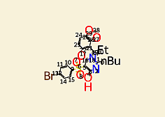 CCCCc1nc(O)c(S(=O)(=O)c2ccc(Br)cc2)c(=O)n1[C@@H](CC)c1cccc2c1OCO2